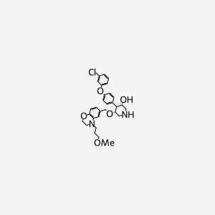 COCCCN1CCOc2ccc(CO[C@H]3CNC[C@@H](O)C3c3ccc(Oc4cccc(Cl)c4)cc3)cc21